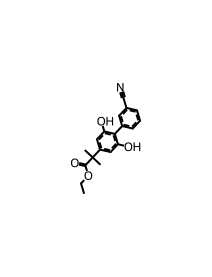 CCOC(=O)C(C)(C)c1cc(O)c(-c2cccc(C#N)c2)c(O)c1